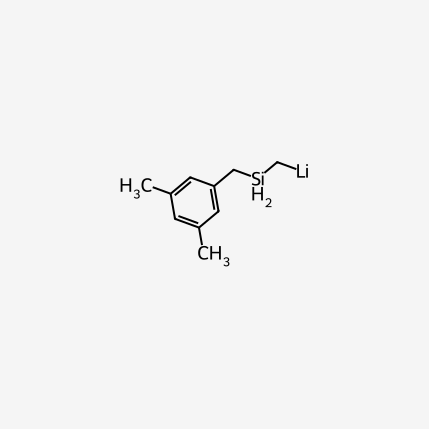 [Li][CH2][SiH2]Cc1cc(C)cc(C)c1